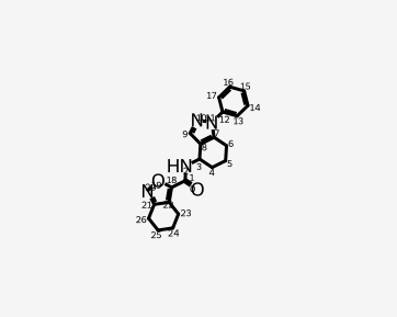 O=C(NC1CCCc2c1cnn2-c1ccccc1)c1onc2c1CCCC2